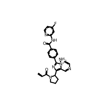 C=CC(=O)N1CCCC1C1=C2C=NC=C[N+]2(N)C(c2ccc(C(=O)Nc3cc(F)ccn3)cc2)=N1